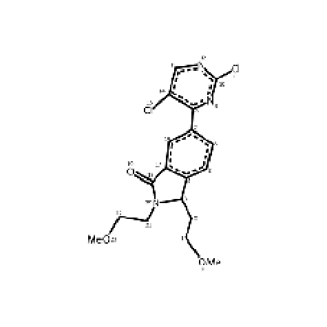 COCCC1c2ccc(-c3nc(Cl)ncc3Cl)cc2C(=O)N1CCOC